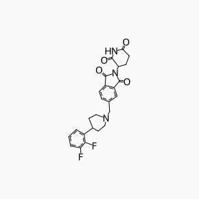 O=C1CCC(N2C(=O)c3ccc(CN4CCC(c5cccc(F)c5F)CC4)cc3C2=O)C(=O)N1